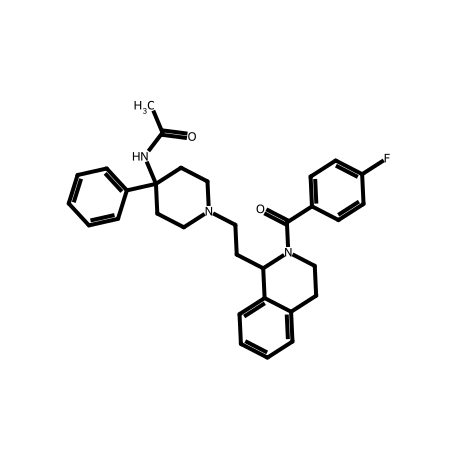 CC(=O)NC1(c2ccccc2)CCN(CCC2c3ccccc3CCN2C(=O)c2ccc(F)cc2)CC1